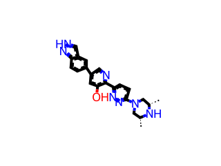 C[C@@H]1CN(c2ccc(-c3ncc(-c4ccc5n[nH]cc5c4)cc3O)nn2)C[C@H](C)N1